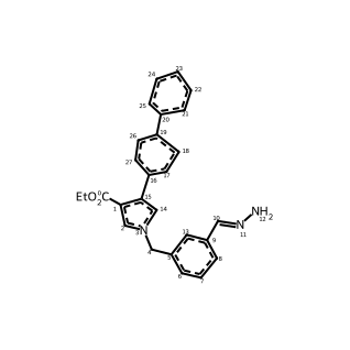 CCOC(=O)c1cn(Cc2cccc(C=NN)c2)cc1-c1ccc(-c2ccccc2)cc1